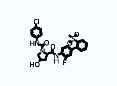 CS(=O)(=O)c1ccccc1-c1ccc(NC(=O)C2CC(O)CN2C(=O)Nc2ccc(Cl)cc2)c(F)c1